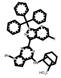 CC(C)n1ccc2c(NC3C4CCC(CC4)C3C(=O)O)nc(-c3nn(C(c4ccccc4)(c4ccccc4)c4ccccc4)c4ncc(F)cc34)nc21